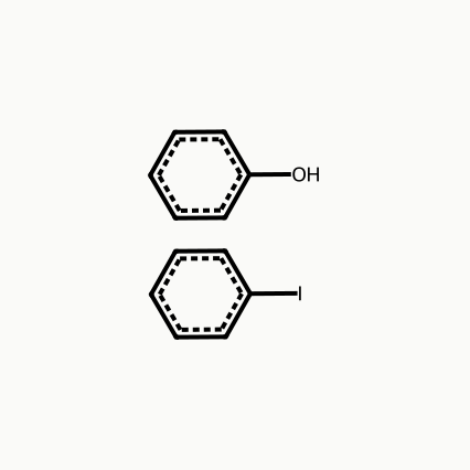 Ic1ccccc1.Oc1ccccc1